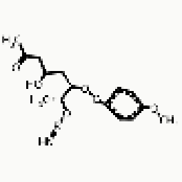 COc1ccc(CO[C@H](CC(O)CC(C)=O)[C@@H](C)OB=N)cc1